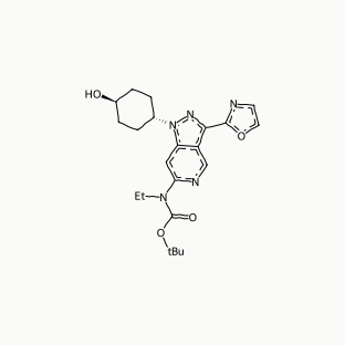 CCN(C(=O)OC(C)(C)C)c1cc2c(cn1)c(-c1ncco1)nn2[C@H]1CC[C@H](O)CC1